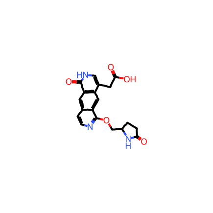 O=C(O)Cc1c[nH]c(=O)c2cc3ccnc(OCC4CCC(=O)N4)c3cc12